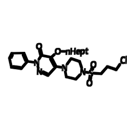 CCCCCCCOc1c(N2CCN(S(=O)(=O)CCCCl)CC2)cnn(-c2ccccc2)c1=O